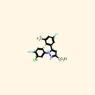 CCOC(=O)c1cc(-c2cc(F)cc(C(F)(F)F)c2)n(-c2ccc(F)c(Cl)c2)n1